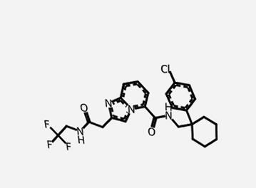 O=C(Cc1cn2c(C(=O)NCC3(c4ccc(Cl)cc4)CCCCC3)cccc2n1)NCC(F)(F)F